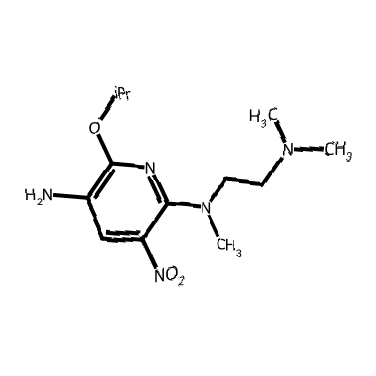 CC(C)Oc1nc(N(C)CCN(C)C)c([N+](=O)[O-])cc1N